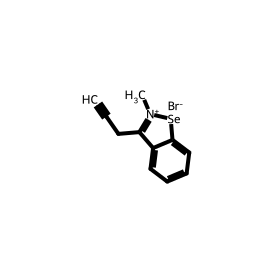 C#CCc1c2ccccc2[se][n+]1C.[Br-]